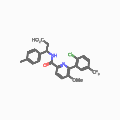 COc1ccc(C(=O)NC(CC(=O)O)c2ccc(C)cc2)nc1-c1cc(C(F)(F)F)ccc1Cl